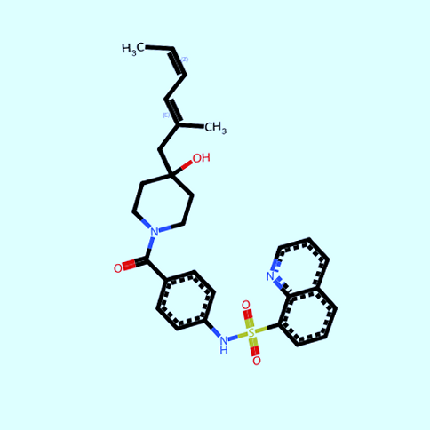 C/C=C\C=C(/C)CC1(O)CCN(C(=O)c2ccc(NS(=O)(=O)c3cccc4cccnc34)cc2)CC1